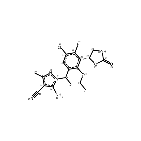 CCOc1c(C(C)n2nc(C)c(C#N)c2N)cc(Cl)c(F)c1[C@@H]1CNC(=O)O1